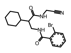 N#CCNC(=O)C(CNC(=O)c1ccccc1Br)C1CCCCC1